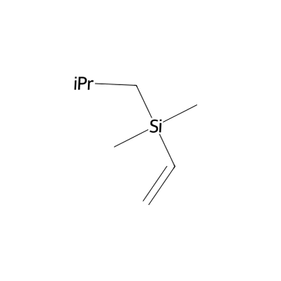 C=C[Si](C)(C)CC(C)C